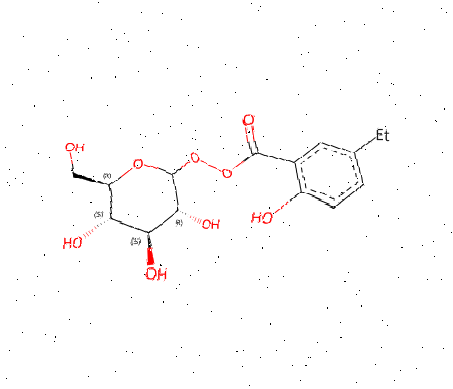 CCc1ccc(O)c(C(=O)OOC2O[C@H](CO)[C@@H](O)[C@H](O)[C@H]2O)c1